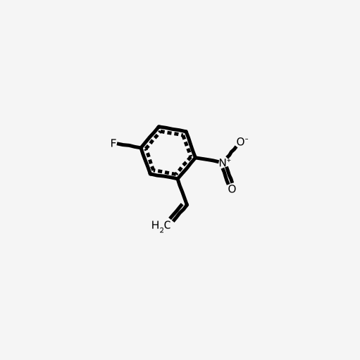 C=Cc1cc(F)ccc1[N+](=O)[O-]